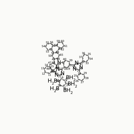 Bc1c(B)c(B)c(-c2nc(-c3ccccc3)nc(-c3cc(-c4nc(-c5ccccc5)nc(-c5ccccc5)n4)ccc3-n3c4ccccc4c4cc5c6ccccc6c6ccccc6c5cc43)n2)c(B)c1B